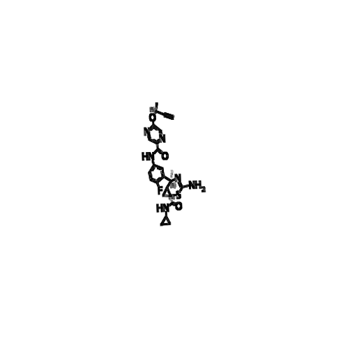 C#C[C@H](C)Oc1cnc(C(=O)Nc2ccc(F)c([C@@]3(C)N=C(N)S[C@@]4(C(=O)NC5CC5)CC43)c2)cn1